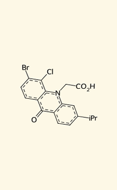 CC(C)c1ccc2c(=O)c3ccc(Br)c(Cl)c3n(CC(=O)O)c2c1